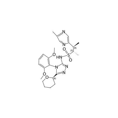 COc1cccc(OC)c1-n1c(NS(=O)(=O)[C@@H](C)[C@H](C)c2cnc(C)cn2)nnc1[C@H]1CCCCO1